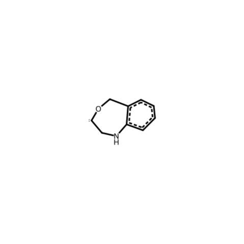 [C]1CNc2ccccc2CO1